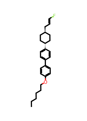 CCCCCCOc1ccc(-c2ccc([C@H]3CC[C@H](C/C=C/F)CC3)cc2)cc1